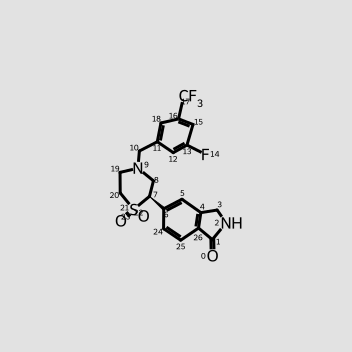 O=C1NCc2cc([C@@H]3CN(Cc4cc(F)cc(C(F)(F)F)c4)CCS3(=O)=O)ccc21